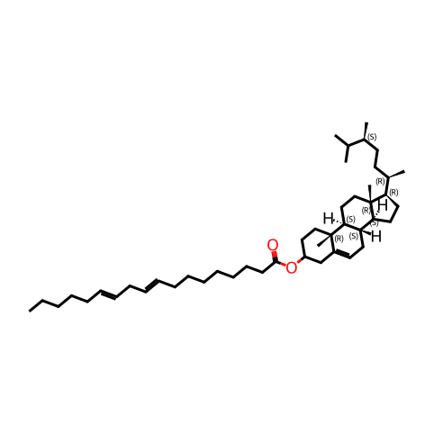 CCCCCC=CCC=CCCCCCCCC(=O)OC1CC[C@@]2(C)C(=CC[C@H]3[C@@H]4CC[C@H]([C@H](C)CC[C@H](C)C(C)C)[C@@]4(C)CC[C@@H]32)C1